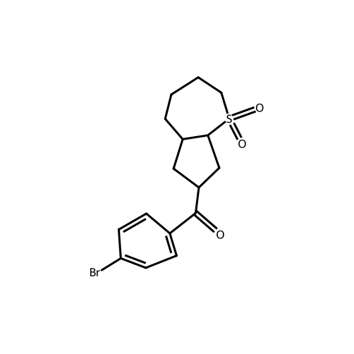 O=C(c1ccc(Br)cc1)C1CC2CCCCS(=O)(=O)C2C1